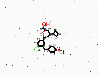 CCOc1ccc(Cc2cc(C3CC(C4CCC4)CC(CO)O3)ccc2Cl)cc1